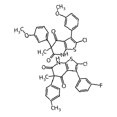 COc1cccc(-c2c(Cl)sc3c2C(=O)C(C)(c2cccc(OC)c2)C(=O)N3)c1.Cc1ccc(C2(C)C(=O)Nc3sc(Cl)c(-c4cccc(F)c4)c3C2=O)cc1